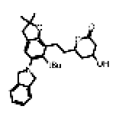 CC1(C)Cc2cc(N3Cc4ccccc4C3)c(C(C)(C)C)c(CCC3CC(O)CC(=O)O3)c2O1